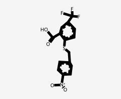 O=C(O)c1cc(C(F)(F)F)ccc1SCc1ccc([N+](=O)[O-])cc1